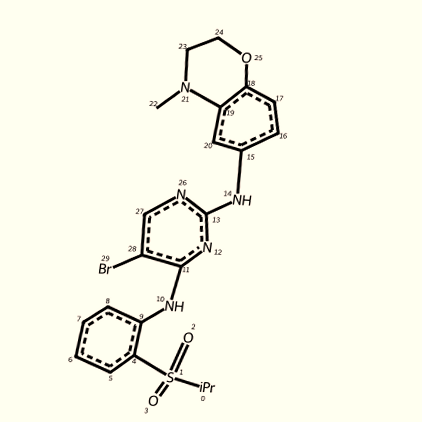 CC(C)S(=O)(=O)c1ccccc1Nc1nc(Nc2ccc3c(c2)N(C)CCO3)ncc1Br